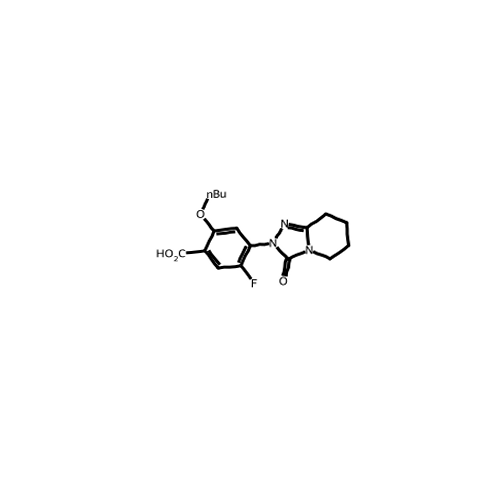 CCCCOc1cc(-n2nc3n(c2=O)CCCC3)c(F)cc1C(=O)O